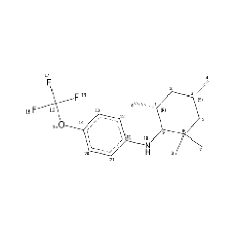 [CH2][C@@H]1C[C@H](C)CC(C)(C)C1Nc1ccc(OC(F)(F)F)cc1